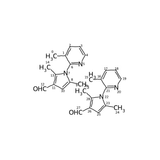 Cc1cccnc1-n1c(C)cc(C=O)c1C.Cc1cccnc1-n1c(C)cc(C=O)c1C